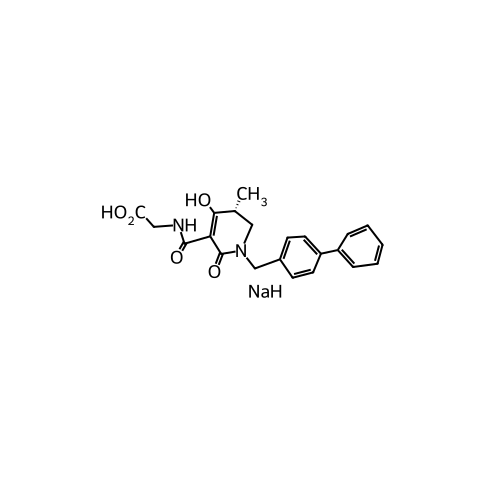 C[C@@H]1CN(Cc2ccc(-c3ccccc3)cc2)C(=O)C(C(=O)NCC(=O)O)=C1O.[NaH]